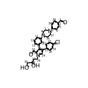 O=Cc1ccc(N2CCN(c3cccc(-c4c(-c5ccc(Cl)cc5)cn(CC[C@H](O)CO)c4C=O)c3)CC2)cc1